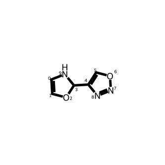 C1=COC(c2conn2)N1